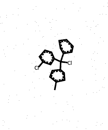 Cc1ccc(C(Cl)(c2ccccc2)c2cccc(Cl)c2)cc1